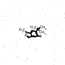 Cn1ncc2cc(F)c(C(C)(C)C)cc21